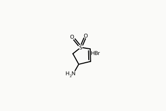 Br.NC1C=CS(=O)(=O)C1